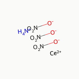 O=[N+]([O-])[O-].O=[N+]([O-])[O-].O=[N+]([O-])[O-].[Ce+2].[NH4+]